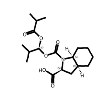 CC(C)C(=O)O[C@@H](OC(=O)N1[C@H](C(=O)O)C[C@@H]2CCCC[C@@H]21)C(C)C